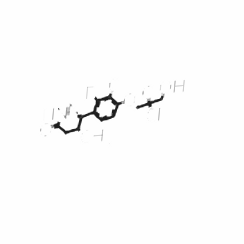 CC1CC(=O)NN=C1c1ccc(OCC(Cl)(Cl)CO)c(Cl)c1F